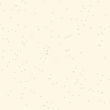 CCCCNC(=O)C#CC(=O)O